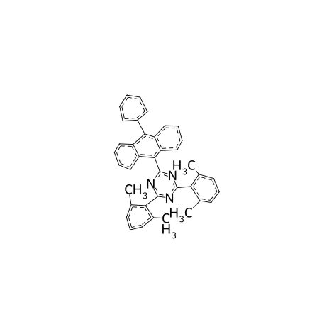 Cc1cccc(C)c1-c1nc(-c2c(C)cccc2C)nc(-c2c3ccccc3c(-c3ccccc3)c3ccccc23)n1